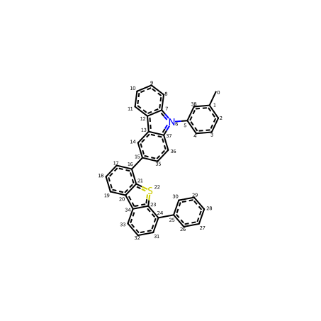 Cc1cccc(-n2c3ccccc3c3cc(-c4cccc5c4sc4c(-c6ccccc6)cccc45)ccc32)c1